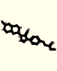 COC(=O)CCc1ccc(-n2ccn(C3CCC4CN(C)CCC4C3)c2=O)cc1